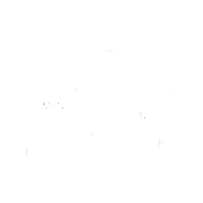 CNC(=O)c1c(-c2ccc(F)cc2)oc2cc(N(CCF)S(C)(=O)=O)c(-c3cccc(C(=O)O)c3)cc12